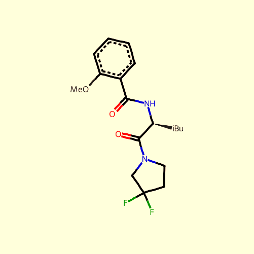 CCC(C)[C@H](NC(=O)c1ccccc1OC)C(=O)N1CCC(F)(F)C1